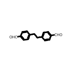 O=Cc1ccc([CH]Cc2ccc(C=O)cc2)cc1